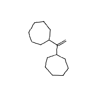 C=C(C1CCCCCC1)C1CCCCCC1